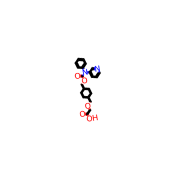 O=C(O)COCC1CCC(COC(=O)N(c2ccccc2)c2cccnc2)CC1